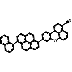 N#Cc1ccc2c3c(cccc13)Oc1cc(-c3ccc4ccc5c(-c6cccc7ccccc67)ccc6ccc3c4c65)ccc1-2